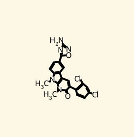 Cn1c(=O)c(-c2ccc(Cl)cc2Cl)cc2c3cc(-c4nc(N)no4)ccc3n(C)c21